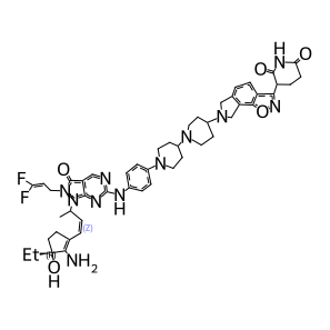 CC[C@@]1(O)CCC(/C=C\C(C)n2c3nc(Nc4ccc(N5CCC(N6CCC(N7Cc8ccc9c(C%10CCC(=O)NC%10=O)noc9c8C7)CC6)CC5)cc4)ncc3c(=O)n2CC=C(F)F)=C1N